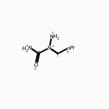 CCCCN(N)C(N)=O